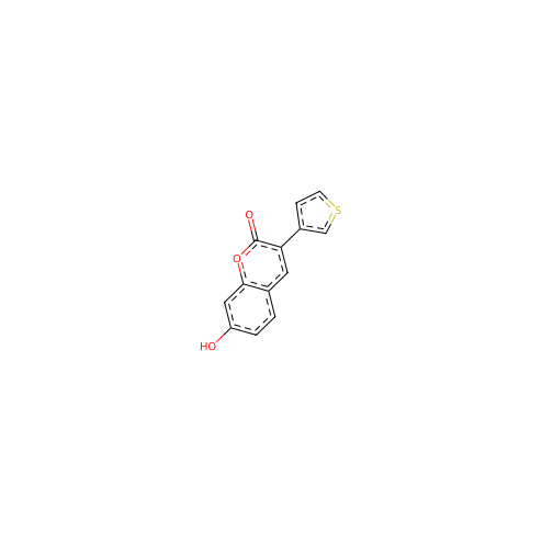 O=c1oc2cc(O)ccc2cc1-c1ccsc1